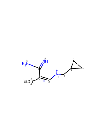 CCOC(=O)/C(=C/NCC1CC1)C(=N)N